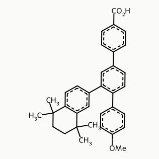 COc1ccc(-c2ccc(-c3ccc(C(=O)O)cc3)cc2-c2ccc3c(c2)C(C)(C)CCC3(C)C)cc1